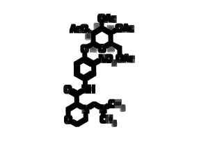 CC(=O)OC[C@H]1O[C@@H](Oc2ccc(NC(=O)C3COCCN3CN(C)C)cc2[N+](=O)[O-])[C@H](OC(C)=O)[C@@H](OC(C)=O)[C@H]1OC(C)=O